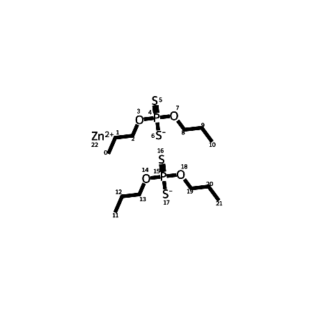 CCCOP(=S)([S-])OCCC.CCCOP(=S)([S-])OCCC.[Zn+2]